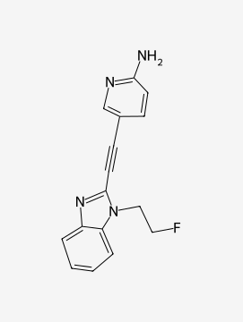 Nc1ccc(C#Cc2nc3ccccc3n2CCF)cn1